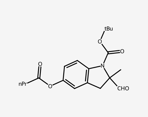 CCCC(=O)Oc1ccc2c(c1)CC(C)(C=O)N2C(=O)OC(C)(C)C